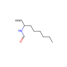 C=CC(CCCCCC)NC=O